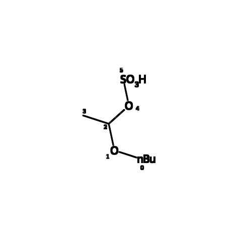 CCCCOC(C)OS(=O)(=O)O